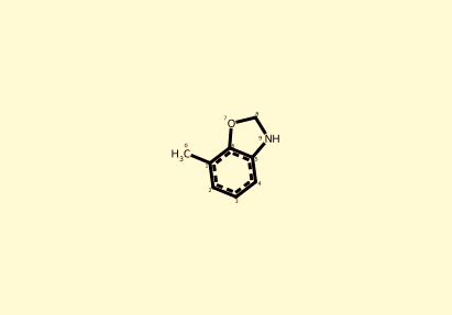 Cc1cccc2c1OCN2